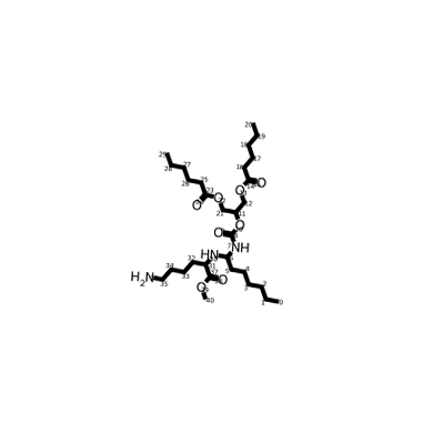 CCCCCCC(NC(=O)OC(COC(=O)CCCCC)COC(=O)CCCCC)NC(CCCCN)C(=O)OC